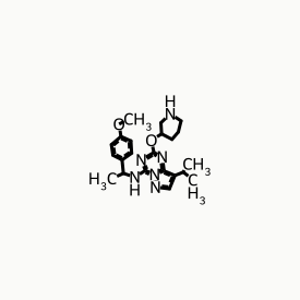 COc1ccc(C(C)Nc2nc(OC3CCCNC3)nc3c(C(C)C)cnn23)cc1